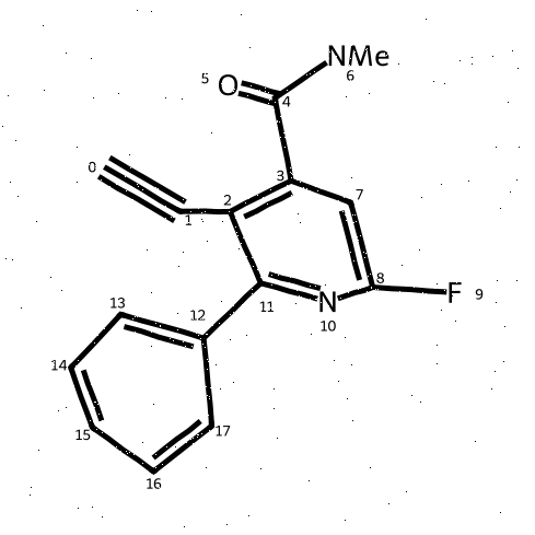 C#Cc1c(C(=O)NC)cc(F)nc1-c1ccccc1